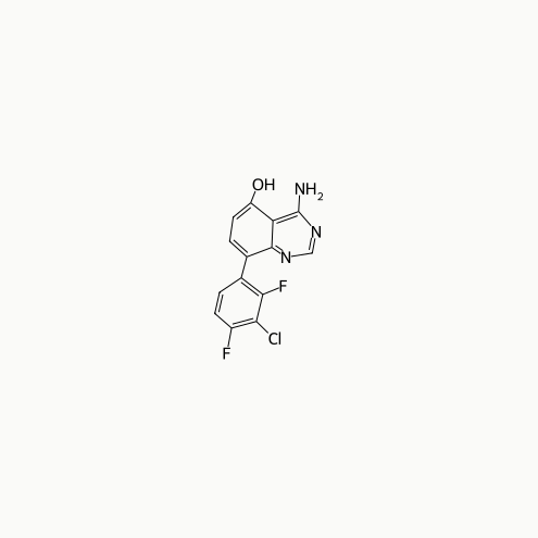 Nc1ncnc2c(-c3ccc(F)c(Cl)c3F)ccc(O)c12